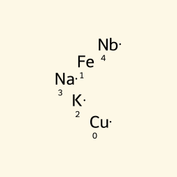 [Cu].[Fe].[K].[Na].[Nb]